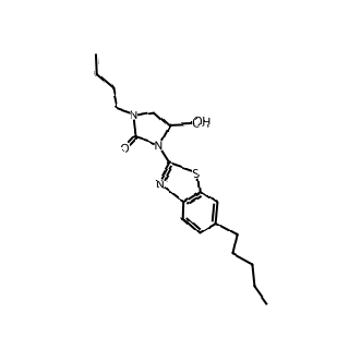 CCCCCc1ccc2nc(N3C(=O)N(CCCC)CC3O)sc2c1